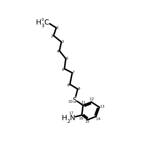 CCCCCCCCCCSc1ccccc1N